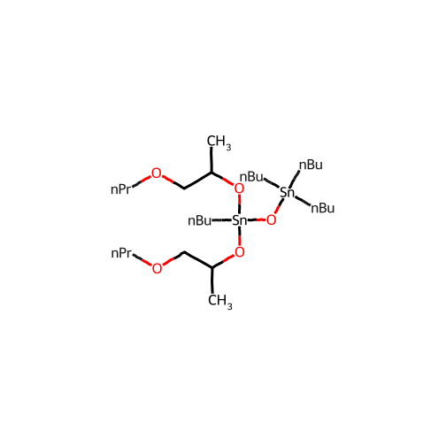 CCC[CH2][Sn]([CH2]CCC)([CH2]CCC)[O][Sn]([CH2]CCC)([O]C(C)COCCC)[O]C(C)COCCC